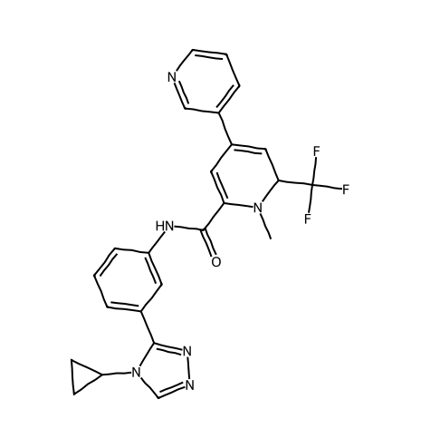 CN1C(C(=O)Nc2cccc(-c3nncn3C3CC3)c2)=CC(c2cccnc2)=CC1C(F)(F)F